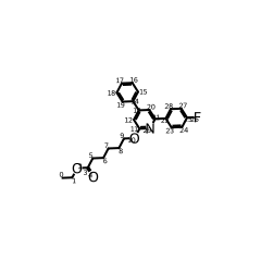 CCOC(=O)CCCCCOc1cc(-c2ccccc2)cc(-c2ccc(F)cc2)n1